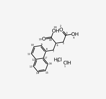 Cl.Cl.O=C(O)CC(Cc1cccc2ccccc12)C(=O)O